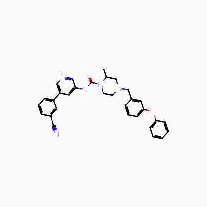 CC1CN(Cc2cccc(Oc3ccccc3)c2)CCN1C(=O)Nc1cncc(-c2cccc(C#N)c2)c1